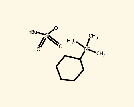 CCCCS(=O)(=O)[O-].C[N+](C)(C)C1CCCCC1